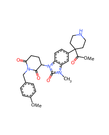 COC(=O)C1(c2ccc3c(c2)n(C)c(=O)n3C2CCC(=O)N(Cc3ccc(OC)cc3)C2=O)CCNCC1